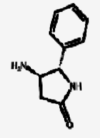 N[C@@H]1CC(=O)N[C@H]1c1ccccc1